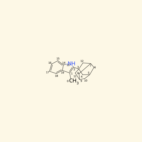 Cc1c(C23CC4CC(CC(C4)C2)C3)[nH]c2ccccc12